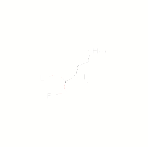 CCCCCCCC[SiH2]C(OCC)OCC